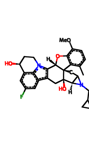 COc1ccc(C)c2c1O[C@H]1c3c(c4cc(F)cc5c4n3CC[C@@H]5O)C[C@@]3(O)[C@H]4C(C[C@]213)N4CC1CC1